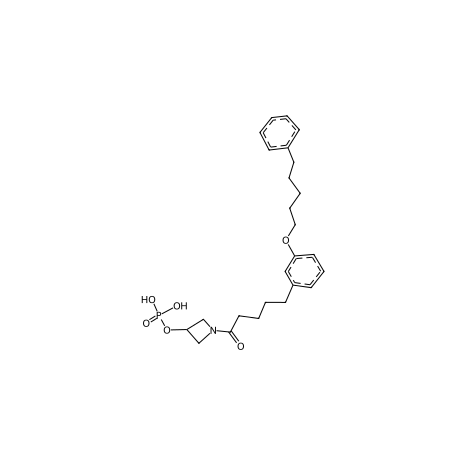 O=C(CCCCc1cccc(OCCCCCc2ccccc2)c1)N1CC(OP(=O)(O)O)C1